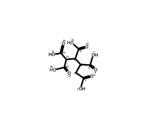 O=C(O)CC(C(=O)O)C(C(=O)O)C(C(=O)O)C(=O)O